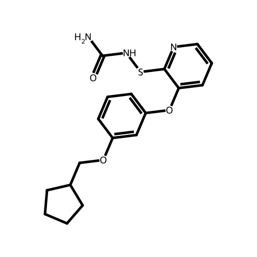 NC(=O)NSc1ncccc1Oc1cccc(OCC2CCCC2)c1